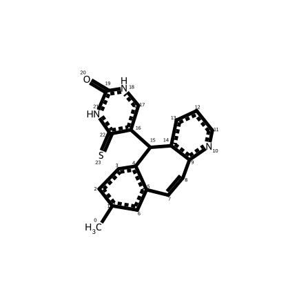 Cc1ccc2c(c1)C=Cc1ncccc1C2c1c[nH]c(=O)[nH]c1=S